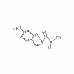 O=C(O)Nc1ccc2ccc(O)cc2c1